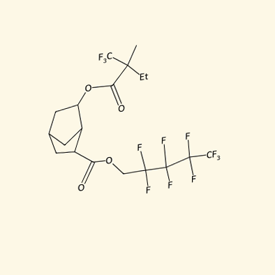 CCC(C)(C(=O)OC1CC2CC(C(=O)OCC(F)(F)C(F)(F)C(F)(F)C(F)(F)F)C1C2)C(F)(F)F